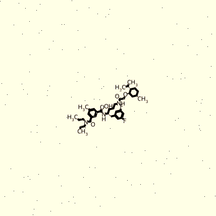 CCCN(CCC)C(=O)c1cc(C)cc(C(=O)N[C@@H](Cc2cc(F)cc(F)c2)[C@H](O)CCNC(=O)CO[C@@H]2C[C@H](C)CC[C@H]2C(C)C)c1